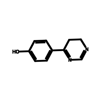 Oc1ccc(C2=NC=NCC2)cc1